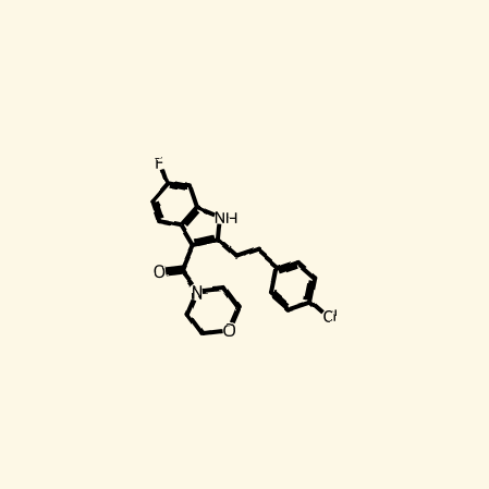 O=C(c1c(CCc2ccc(Cl)cc2)[nH]c2cc(F)ccc12)N1CCOCC1